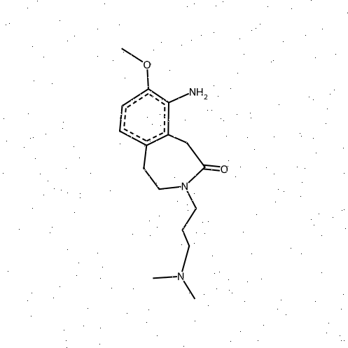 COc1ccc2c(c1N)CC(=O)N(CCCN(C)C)CC2